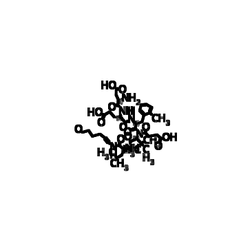 Cc1ccccc1C[C@H](NC(=O)[C@H](CCC(=O)O)NC(=O)[C@@H](N)CC(=O)O)C(=O)N(C(=O)CCC(=O)O)[C@H](C(=O)N[C@@H](CC(C)C)C(=O)NC#CCCCC=O)C(C)(C)C